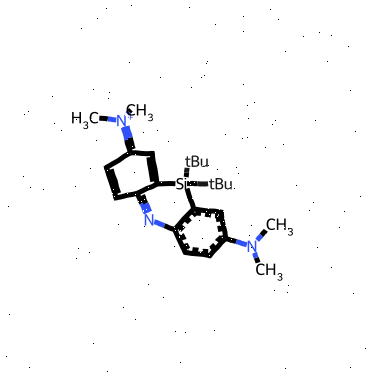 CN(C)c1ccc2c(c1)[Si](C(C)(C)C)(C(C)(C)C)C1=CC(=[N+](C)C)C=CC1=N2